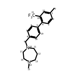 Cc1ccc(-c2ccc(CN3CCCN(C)CC3)cc2)c(C(F)(F)F)c1